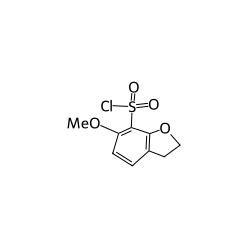 COc1ccc2c(c1S(=O)(=O)Cl)OCC2